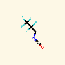 O=C=NCC(F)(F)C(F)(F)F